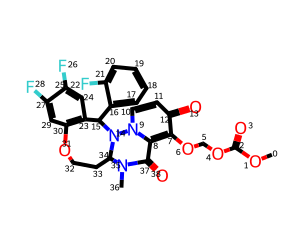 COC(=O)OCOc1c2n(ccc1=O)N1C(c3ccccc3F)c3cc(F)c(F)cc3OCCC1N(C)C2=O